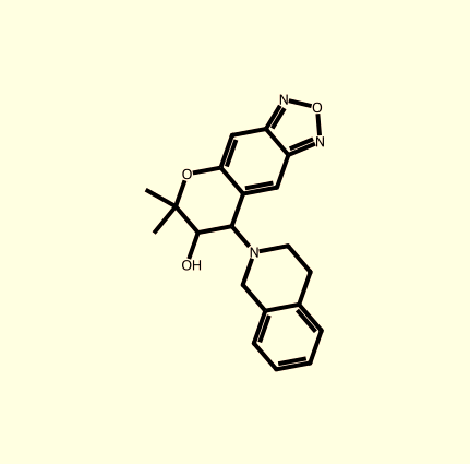 CC1(C)Oc2cc3nonc3cc2C(N2CCc3ccccc3C2)C1O